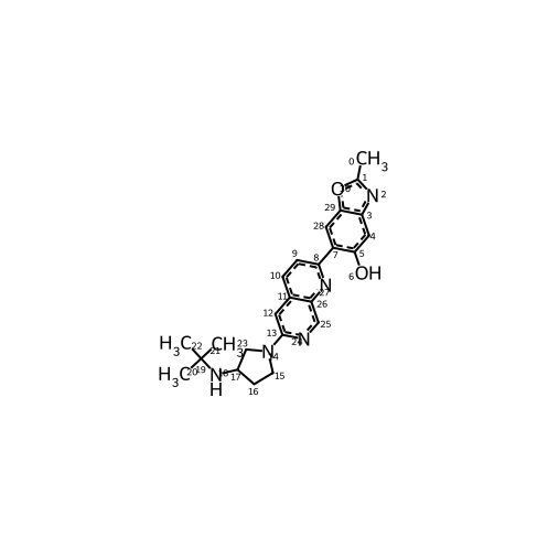 Cc1nc2cc(O)c(-c3ccc4cc(N5CCC(NC(C)(C)C)C5)ncc4n3)cc2o1